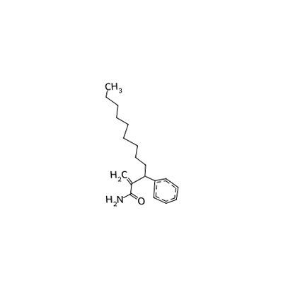 C=C(C(N)=O)C(CCCCCCCCC)c1ccccc1